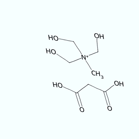 C[N+](CO)(CO)CO.O=C(O)CC(=O)O